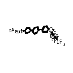 CCCCCC1CCC(c2ccc(-c3ccc(OC(F)(F)C(F)(F)C(F)(F)C(F)(F)C(F)(F)F)cc3)cc2)CC1